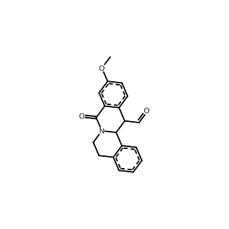 COc1ccc2c(c1)C(=O)N1CCc3ccccc3C1C2C=O